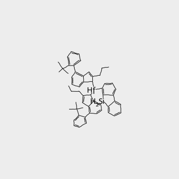 CCCC1=Cc2c(-c3ccccc3C(C)(C)C)cccc2[CH]1[Hf]([c]1cccc2c1[SiH2]c1ccccc1-2)[CH]1C(CCC)=Cc2c(-c3ccccc3C(C)(C)C)cccc21